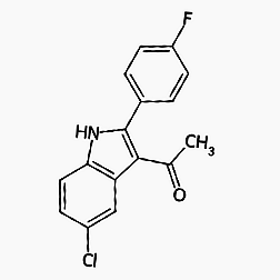 CC(=O)c1c(-c2ccc(F)cc2)[nH]c2ccc(Cl)cc12